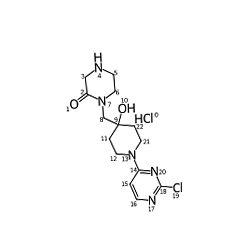 Cl.O=C1CNCCN1CC1(O)CCN(c2ccnc(Cl)n2)CC1